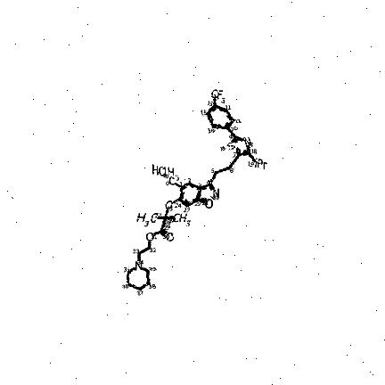 Cc1cc2c(CCc3sc(-c4ccc(C(F)(F)F)cc4)nc3C(C)C)noc2cc1OC(C)(C)C(=O)OCCN1CCCCC1.Cl